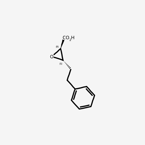 O=C(O)[C@@H]1O[C@H]1CCc1ccccc1